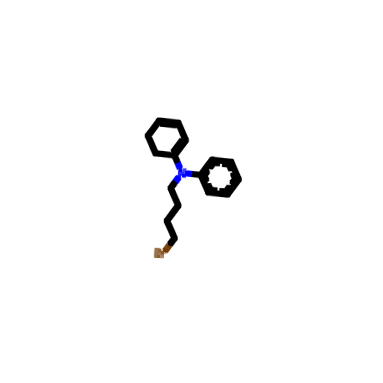 BrCCCCN(C1=CC=CCC1)c1ccccc1